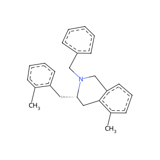 Cc1ccccc1C[C@H]1Cc2c(C)cccc2CN1Cc1ccccc1